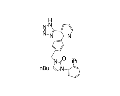 CCCCc1cn(-c2ccccc2C(C)C)c(=O)n1Cc1ccc(-c2ncccc2-c2nnn[nH]2)cc1